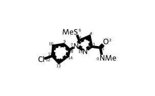 CNC(=O)c1cc(SC)n(-c2ccc(Cl)cc2)n1